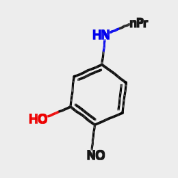 CCCNc1ccc(N=O)c(O)c1